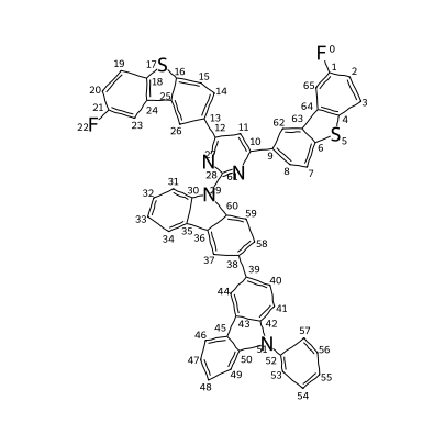 Fc1ccc2sc3ccc(-c4cc(-c5ccc6sc7ccc(F)cc7c6c5)nc(-n5c6ccccc6c6cc(-c7ccc8c(c7)c7ccccc7n8-c7ccccc7)ccc65)n4)cc3c2c1